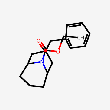 CCOC(=O)N1C2CCCC1CC(Cc1ccccc1)C2